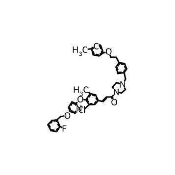 Cc1ccc(OCCc2ccc(CN3CCN(C(=O)C=Cc4cc(C)c(Oc5ccc(OCc6ccccc6F)cn5)c(Cl)c4)CC3)cc2)cc1